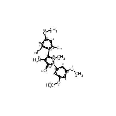 COc1cc(OC)cc(-n2c(=O)c(N)c(-c3c(F)cc(OC)cc3F)n2C)c1